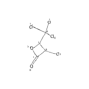 O=C1OC(C(Cl)(Cl)Cl)C1Cl